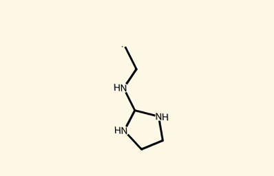 [CH2]CNC1NCCN1